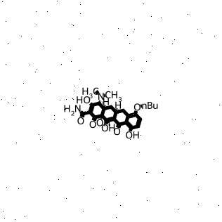 CCCCOc1ccc(O)c2c1C[C@@H]1C[C@@H]3[C@@H](N(C)C)C(O)=C(C(N)=O)C(=O)[C@]3(O)C(O)=C1C2=O